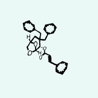 O=C(C=Cc1ccccc1)O[C@@H]1[C@@H]2OC[C@H](CC1(Cc1ccccc1)Cc1ccccc1)O2